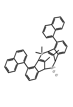 CC1=C2c3c(-c4cccc5ccccc45)cccc3[CH]1[Zr+2][CH]1C(C)=C(c3c(-c4cccc5ccccc45)cccc31)[Si]2(C)C.[Cl-].[Cl-]